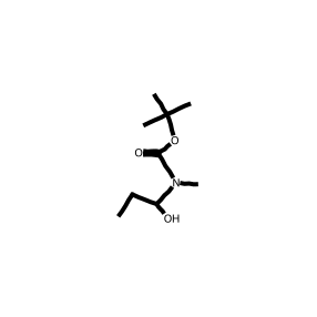 CCC(O)N(C)C(=O)OC(C)(C)C